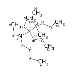 CCCCN(CC)C(CC)(CCC)C(C)(CC)CCC